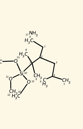 CCC(CC(C)C)C(C)(C)[Si](OC)(OC)OC.N